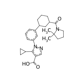 CC1(C)CCCN1C(=O)C1CCCC(c2cccc(-n3ncc(C(=O)O)c3C3CC3)c2)C1